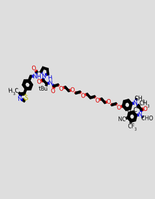 Cc1ncsc1-c1ccc(CNC(=O)[C@@H]2CCCN2C(=O)C(NC(=O)COCCOCCOCCCOCCOCCOc2ccc(N(C)C(C)(C)C(=O)N(C=O)c3ccc(C#N)c(C(F)(F)F)c3)cc2)C(C)(C)C)cc1